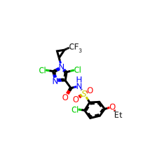 CCOc1ccc(Cl)c(S(=O)(=O)NC(=O)c2nc(Cl)n(C3CC3C(F)(F)F)c2Cl)c1